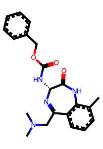 Cc1cccc2c1NC(=O)[C@@H](NC(=O)OCc1ccccc1)N=C2CN(C)C